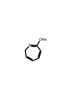 COC1=NCC=CC=C1